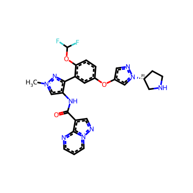 Cn1cc(NC(=O)c2cnn3cccnc23)c(-c2cc(Oc3cnn([C@@H]4CCNC4)c3)ccc2OC(F)F)n1